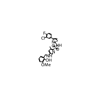 COc1cccc(CNc2cnc(S(=O)(=O)Nc3nc(-c4ccc(F)c(Cl)c4)cs3)c(C)c2)c1O